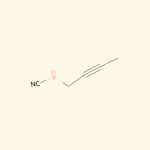 CC#CCBC#N